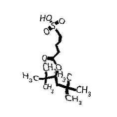 CC(C)(C)CC(OC(=O)CCCS(=O)(=O)O)C(C)(C)C